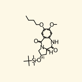 CCCCOc1cc2c(cc1OC)NC(=O)[C@@H]1C[C@@H](O[Si](C)(C)C(C)(C)C)CN1C2=O